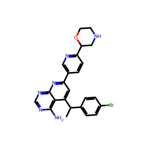 CC(c1ccc(Br)cc1)c1cc(-c2ccc(C3CNCCO3)nc2)nc2ncnc(N)c12